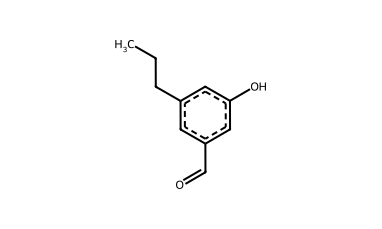 CCCc1cc(O)cc(C=O)c1